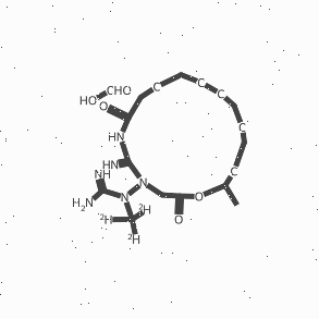 O=CO.[2H]C([2H])([2H])N(C(=N)N)N1CC(=O)OC(C)CCCCCCCCCC(=O)NC1=N